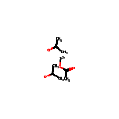 CC(=O)[O][Ti+2].CC(C)[O-].CC(C)[O-]